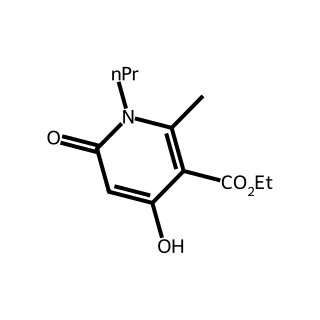 CCCn1c(C)c(C(=O)OCC)c(O)cc1=O